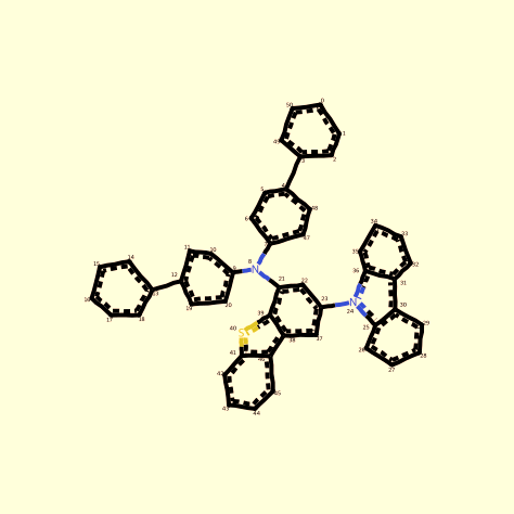 c1ccc(-c2ccc(N(c3ccc(-c4ccccc4)cc3)c3cc(-n4c5ccccc5c5ccccc54)cc4c3sc3ccccc34)cc2)cc1